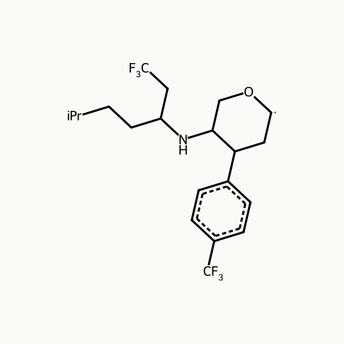 CC(C)CCC(CC(F)(F)F)NC1CO[CH]CC1c1ccc(C(F)(F)F)cc1